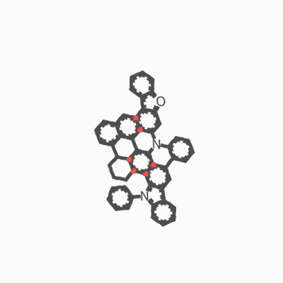 c1ccc(-n2c3ccccc3c3cc(-c4ccccc4N(c4ccc5c(c4)oc4ccccc45)c4ccccc4-c4cccc5cccc(C6CCCCC6)c45)ccc32)cc1